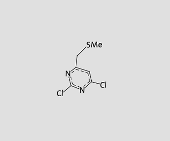 CSCc1cc(Cl)nc(Cl)n1